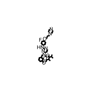 CCC(C)C(OC(=O)N(Cc1cccc(OC)c1)c1ccnc(Nc2ccc(OCCCN3CCN(C)CC3)c(F)c2)n1)C(C)C